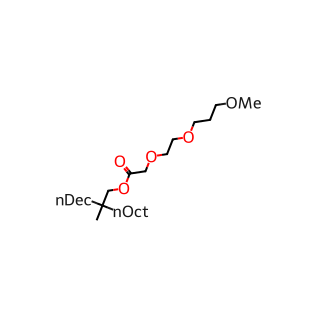 CCCCCCCCCCC(C)(CCCCCCCC)COC(=O)COCCOCCCOC